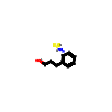 N.OCCCc1ccccc1.S